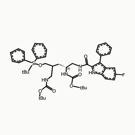 CC(C)(C)OC(=O)NCC(CO[Si](c1ccccc1)(c1ccccc1)C(C)(C)C)C[C@H](CNC(=O)c1[nH]c2ccc(F)cc2c1-c1ccccc1)NC(=O)OC(C)(C)C